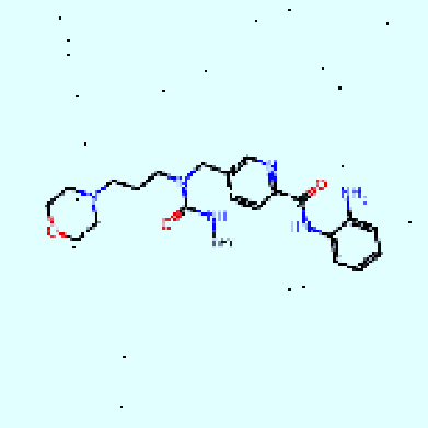 CCCNC(=O)N(CCCN1CCOCC1)Cc1ccc(C(=O)Nc2ccccc2N)nc1